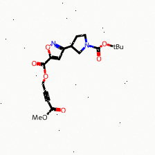 COC(=O)C#CCOC(=O)c1cc(C2CCN(C(=O)OC(C)(C)C)C2)no1